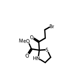 COC(=O)C1(C(=O)CCBr)NCCS1